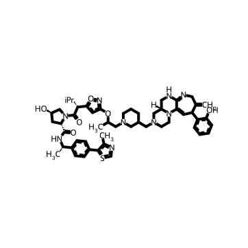 C=C1CN=C2NC[C@H]3CN(CC4CCCN(CC(C)Oc5cc([C@H](C(=O)N6C[C@H](O)C[C@H]6C(=O)N[C@@H](C)c6ccc(-c7scnc7C)cc6)C(C)C)on5)C4)CCN3C2=CC1c1ccccc1O